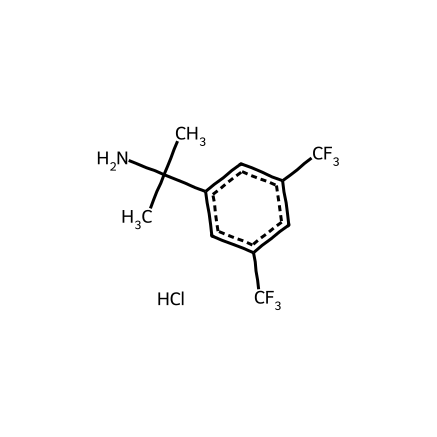 CC(C)(N)c1cc(C(F)(F)F)cc(C(F)(F)F)c1.Cl